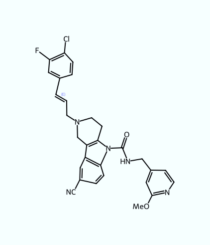 COc1cc(CNC(=O)n2c3c(c4cc(C#N)ccc42)CN(C/C=C/c2ccc(Cl)c(F)c2)CC3)ccn1